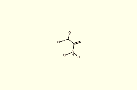 C=C(C(Cl)Cl)[SiH](Cl)Cl